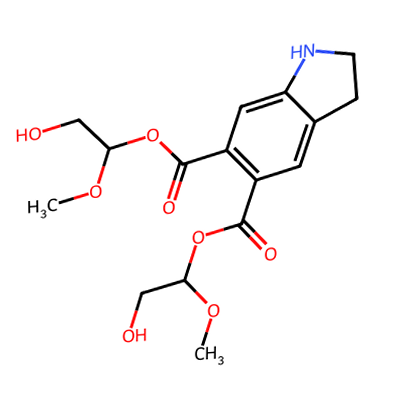 COC(CO)OC(=O)c1cc2c(cc1C(=O)OC(CO)OC)NCC2